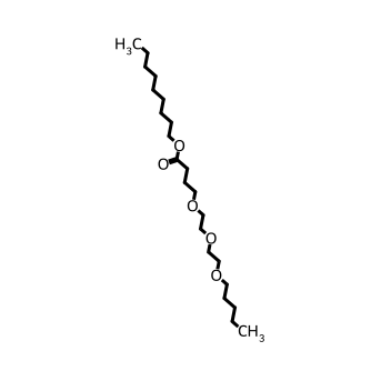 CCCCCCCCCOC(=O)CCCOCCOCCOCCCCC